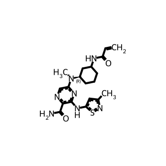 C=CC(=O)NC1CCC[C@@H](N(C)c2cnc(C(N)=O)c(Nc3cc(C)ns3)n2)C1